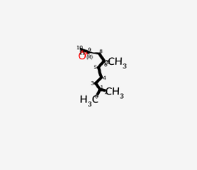 CC(C)CCC[C@@H](C)C[C@@H]1CO1